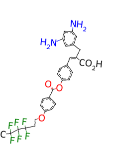 Nc1cc(N)cc(CC(=Cc2ccc(OC(=O)c3ccc(OCCC(F)(F)C(F)(F)C(F)(F)C(F)(F)F)cc3)cc2)C(=O)O)c1